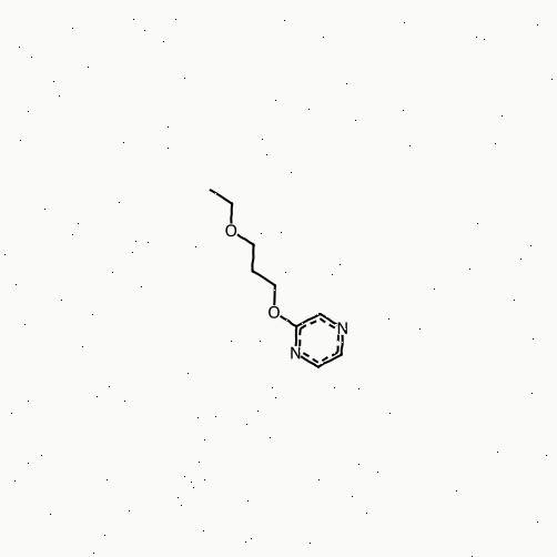 CCOCCCOc1cnccn1